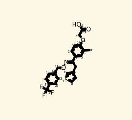 Cc1cc(/C(Cc2ccsc2)=N/OCc2ccc(C(F)(F)F)cc2)ccc1OCC(=O)O